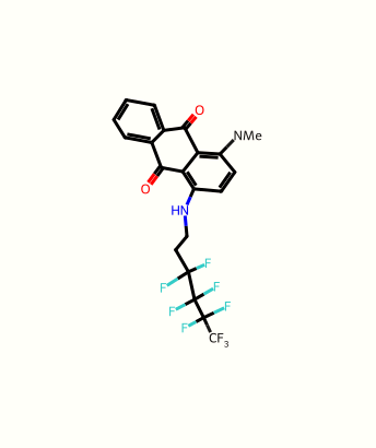 CNc1ccc(NCCC(F)(F)C(F)(F)C(F)(F)C(F)(F)F)c2c1C(=O)c1ccccc1C2=O